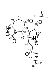 CC(C)(C)OC(=O)CCC(CCC(=O)OC(C)(C)C)(CC1CCCCc2noc(=O)n21)[N+](=O)[O-]